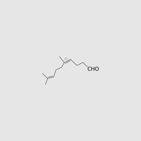 CC(C)=CCC/C(C)=C\CCC=O